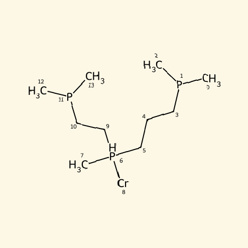 CP(C)CCC[PH](C)([Cr])CCP(C)C